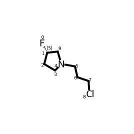 F[C@H]1CCN(CCCCl)C1